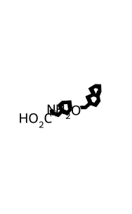 N[C@@H](Cc1cccc(OCCc2ccc3ccccc3c2)c1)C(=O)O